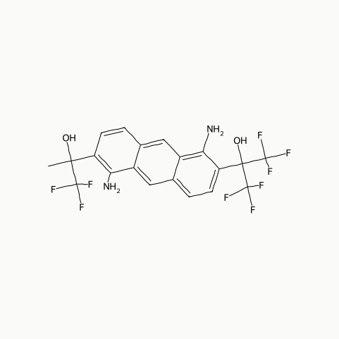 CC(O)(c1ccc2cc3c(N)c(C(O)(C(F)(F)F)C(F)(F)F)ccc3cc2c1N)C(F)(F)F